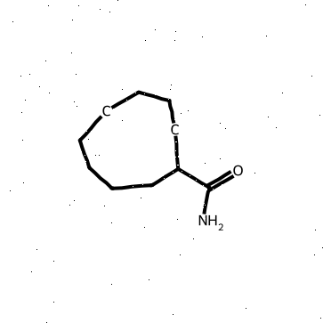 NC(=O)C1CCCCCCCC1